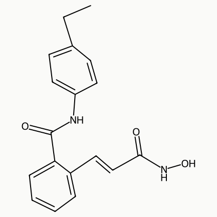 CCc1ccc(NC(=O)c2ccccc2C=CC(=O)NO)cc1